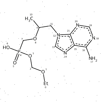 CCOCOP(=O)(O)COC(C)Cn1cnc2c(N)ncnc21